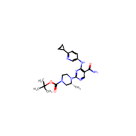 C[C@@H]1CN(C(=O)OC(C)(C)C)CCN1c1ncc(C(N)=O)c(Nc2ccc(C3CC3)nc2)n1